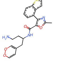 Cc1nc(-c2cccc3sccc23)c(C(=O)NC(CCN)CC2=COOC=C2)o1